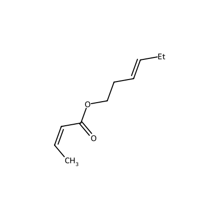 C/C=C\C(=O)OCCC=CCC